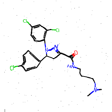 CN(C)CCCNC(=O)C1=NN(c2ccc(Cl)cc2Cl)C(c2ccc(Cl)cc2)C1